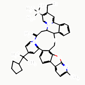 C=C1CC2C(CCc3c(ccc4c3oc3nc(C)ccc34)-c3cc(C(C)(C)C4CCCC4)cc[n+]31)c1ccccc1-c1cc(CC(C)C)c([Si](C)(C)C)c[n+]12